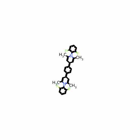 CC1=CC(=c2ccc(=C3C=C(C)N(c4c(F)cccc4F)C(C)=C3)cc2)C=C(C)N1c1c(F)cccc1F